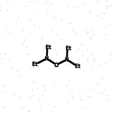 CCN(CC)ON(CC)CC